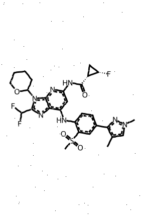 Cc1cn(C)nc1-c1ccc(Nc2cc(NC(=O)[C@@H]3C[C@@H]3F)nc3c2nc(C(F)F)n3C2CCCCO2)c(S(C)(=O)=O)c1